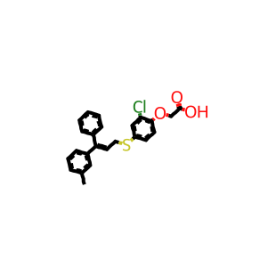 Cc1cccc(C(=CCSc2ccc(OCC(=O)O)c(Cl)c2)c2ccccc2)c1